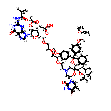 COc1ccc(C(OC[C@]2(CO[Si](C(C)C)(C(C)C)C(C)C)CN(CCOCCOCCOC[C@@H]3O[C@@H](n4cnc5c(=O)[nH]c(NC(=O)C(C)C)nc54)[C@H](OC(C)=O)[C@@H]3CC(=O)O)C[C@H](n3cc(C)c(=O)[nH]c3=O)O2)(c2ccccc2)c2ccc(OC)cc2)cc1.[SiH3]O[SiH3]